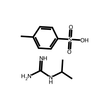 CC(C)NC(=N)N.Cc1ccc(S(=O)(=O)O)cc1